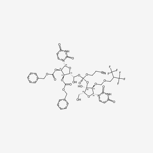 N#CCCOP(=O)(OC(O)[C@H]1O[C@@H](n2ccc(=O)[nH]c2=O)[C@H](OC(=O)OCc2ccccc2)[C@@H]1OC(=O)OCc1ccccc1)O[C@]1(O)[C@@H](CO)O[C@@H](n2ccc(=O)[nH]c2=O)[C@@H]1OCOCC(C(F)(F)F)C(F)(F)F